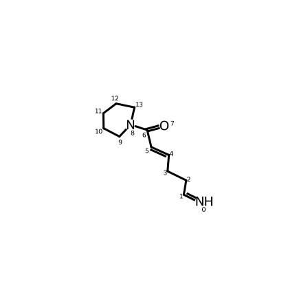 N=CCC/C=C/C(=O)N1CCCCC1